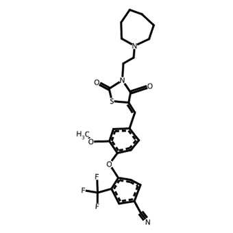 COc1cc(/C=C2\SC(=O)N(CCN3CCCCCC3)C2=O)ccc1Oc1ccc(C#N)cc1C(F)(F)F